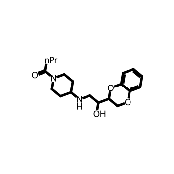 CCCC(=O)N1CCC(NCC(O)C2COc3ccccc3O2)CC1